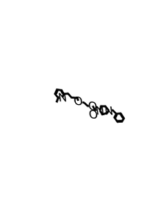 Cc1cccc(CCCOCCOC(=O)N2CCN(Cc3ccccc3)CC2)n1